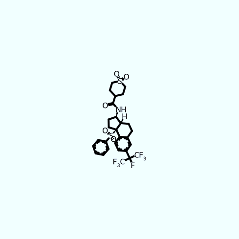 O=C(N[C@@H]1CC[C@@]2(S(=O)(=O)c3ccccc3)c3ccc(C(F)(C(F)(F)F)C(F)(F)F)cc3CC[C@@H]12)C1CCS(=O)(=O)CC1